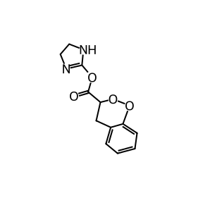 O=C(OC1=NCCN1)C1Cc2ccccc2OO1